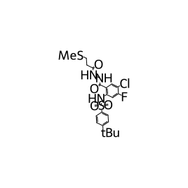 CSCCC(=O)NNC(=O)c1cc(Cl)c(F)cc1NS(=O)(=O)c1ccc(C(C)(C)C)cc1